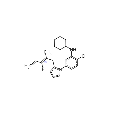 C=C/C(F)=C(\C)Cc1cccn1-c1ccc(C)c(NC2CCCCC2)c1